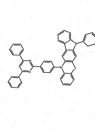 C1=CCCC(n2c3ccccc3c3cc4c(cc32)Sc2ccccc2N4c2ccc(-c3nc(-c4ccccc4)cc(-c4ccccc4)n3)cc2)=C1